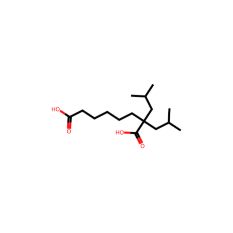 CC(C)CC(CCCCCC(=O)O)(CC(C)C)C(=O)O